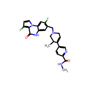 CNC(=O)c1ccc(C2=CCN(Cc3cc4[nH]c(=O)c5c(F)ccn5c4cc3F)CC2C)cn1